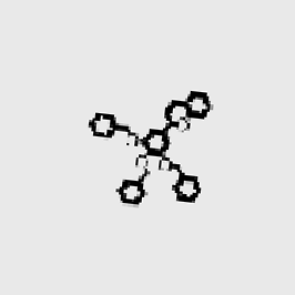 C1=CC(c2cc(OCc3ccccc3)c(OCc3ccccc3)c(OCc3ccccc3)c2)Oc2ccccc21